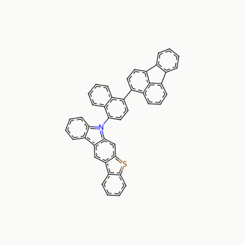 c1ccc2c(c1)-c1cccc3c(-c4ccc(-n5c6ccccc6c6cc7c(cc65)sc5ccccc57)c5ccccc45)ccc-2c13